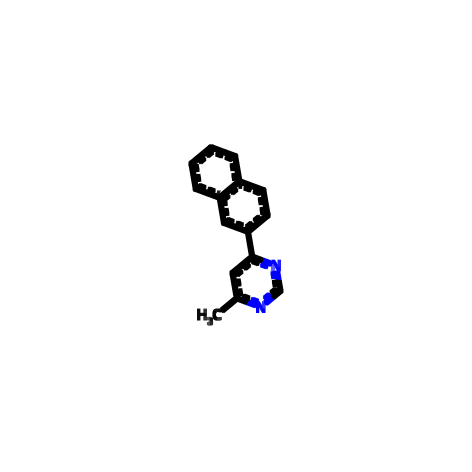 Cc1cc(-c2ccc3ccccc3c2)ncn1